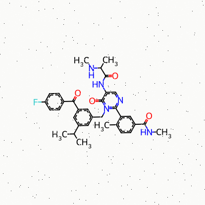 CNC(=O)c1ccc(C)c(-c2ncc(NC(=O)C(C)NC)c(=O)n2Cc2cc(C(=O)c3ccc(F)cc3)cc(C(C)C)c2)c1